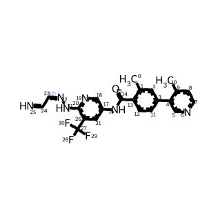 Cc1cc(-c2cnccc2C)ccc1C(=O)Nc1cnc(N/N=C\C=N)c(C(F)(F)F)c1